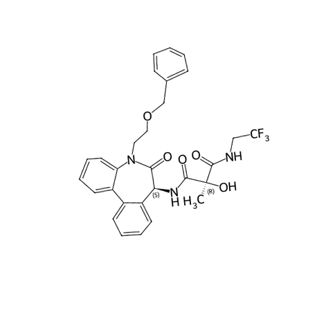 C[C@@](O)(C(=O)NCC(F)(F)F)C(=O)N[C@@H]1C(=O)N(CCOCc2ccccc2)c2ccccc2-c2ccccc21